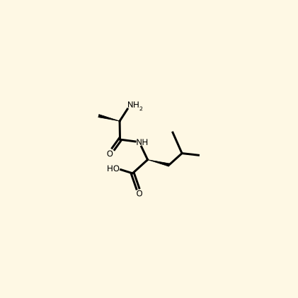 CC(C)C[C@H](NC(=O)[C@@H](C)N)C(=O)O